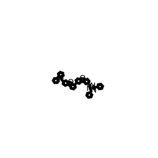 c1ccc(-c2nc(-c3ccccc3)nc(-c3ccc4oc5ccc(-c6cccc7c6oc6cc(-n8c9ccccc9c9ccccc98)ccc67)cc5c4c3)n2)cc1